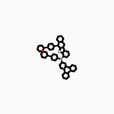 c1ccc(-c2ccc(-c3c4ccccc4cc4c3oc3c(N(c5ccc(-c6ccccc6)cc5)c5ccc6c7ccccc7c7ccccc7c6c5)cccc34)cc2)cc1